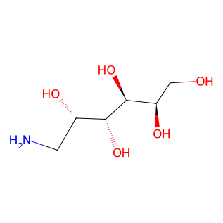 NC[C@H](O)[C@@H](O)[C@@H](O)[C@H](O)CO